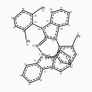 CC(C)c1cccc(C(C)C)c1-n1/c(=N\n2c3ccccc3c3ccncc32)n(-c2c(C(C)C)cccc2C(C)C)c2ncccc21